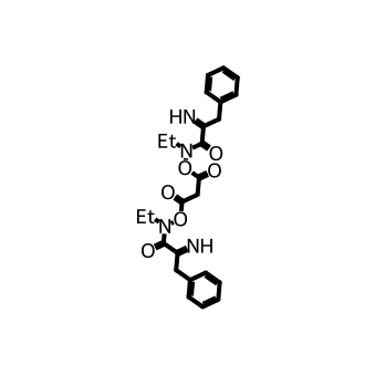 CCN(OC(=O)CC(=O)ON(CC)C(=O)C(=N)Cc1ccccc1)C(=O)C(=N)Cc1ccccc1